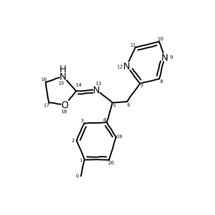 Cc1ccc(C(Cc2cnccn2)/N=C2/NCCO2)cc1